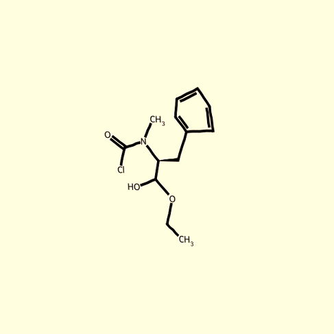 CCOC(O)[C@H](Cc1ccccc1)N(C)C(=O)Cl